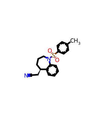 Cc1ccc(S(=O)(=O)N2CCC[C@H](CC#N)c3ccccc32)cc1